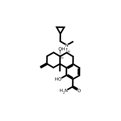 C=C1CC[C@@]2(O)[C@H](N(C)CC3CC3)Cc3ccc(C(N)=O)c(O)c3C2(C)C1